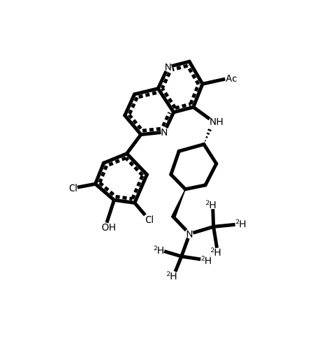 [2H]C([2H])([2H])N(C[C@H]1CC[C@H](Nc2c(C(C)=O)cnc3ccc(-c4cc(Cl)c(O)c(Cl)c4)nc23)CC1)C([2H])([2H])[2H]